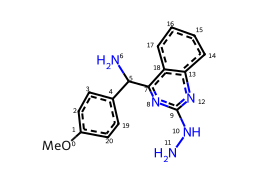 COc1ccc(C(N)c2nc(NN)nc3ccccc23)cc1